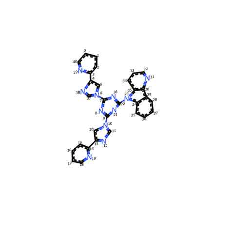 c1ccc(-c2cn(-c3nc(-n4cnc(-c5ccccn5)c4)nc(-n4c5ccccc5c5ncccc54)n3)cn2)nc1